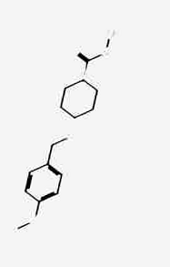 COc1ccc(CN[C@H]2CC[C@H](C(=O)NN)CC2)cc1